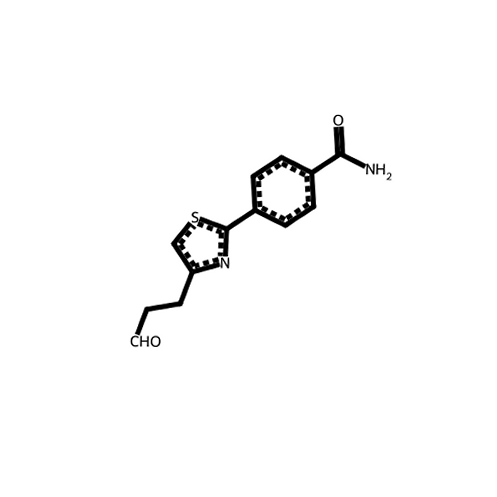 NC(=O)c1ccc(-c2nc(CCC=O)cs2)cc1